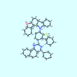 c1ccc(-c2nc(-c3ccc(-n4c5ccccc5c5ccc6oc7ccccc7c6c54)c4sc5ccccc5c34)nc3c2ccc2ccccc23)cc1